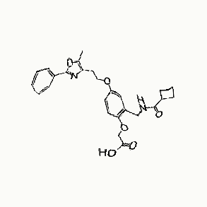 Cc1oc(-c2ccccc2)nc1CCOc1ccc(OCC(=O)O)c(CNC(=O)C2CCC2)c1